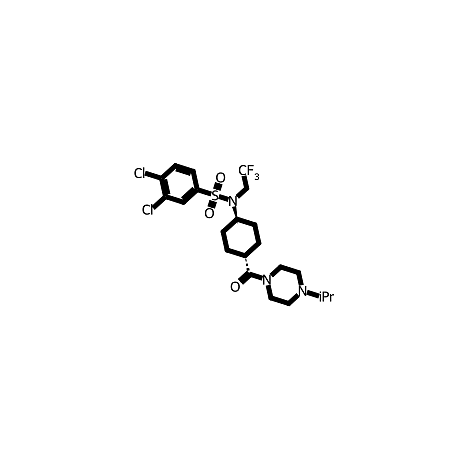 CC(C)N1CCN(C(=O)[C@H]2CC[C@H](N(CC(F)(F)F)S(=O)(=O)c3ccc(Cl)c(Cl)c3)CC2)CC1